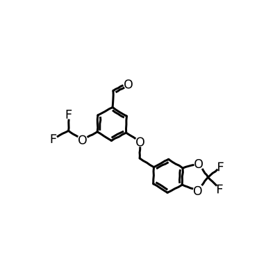 O=Cc1cc(OCc2ccc3c(c2)OC(F)(F)O3)cc(OC(F)F)c1